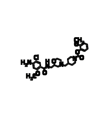 COc1ccccc1OC(=O)N1CCC(CN2CCOC(CNC(=O)c3cc(Cl)c(N)cc3OC)C2)CC1